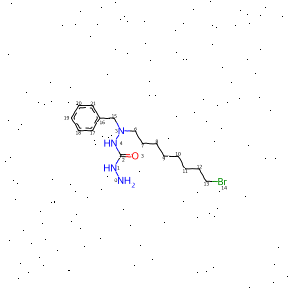 NNC(=O)NN(CCCCCCCCBr)Cc1ccccc1